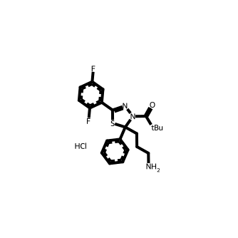 CC(C)(C)C(=O)N1N=C(c2cc(F)ccc2F)SC1(CCCN)c1ccccc1.Cl